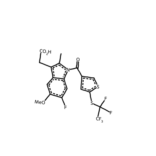 COc1cc2c(CC(=O)O)c(C)n(C(=O)c3csc(SC(F)(F)C(F)(F)F)c3)c2cc1F